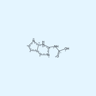 O=C(O)Nc1ncc2ccnc-2[nH]1